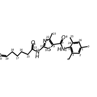 Cc1cc(C)c(NC(=O)c2sc(NC(=O)CCCCC=O)nc2C)c(C)c1